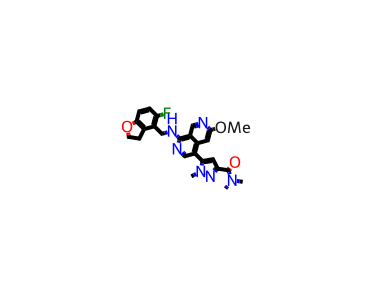 COc1cc2c(-c3cc(C(=O)N(C)C)nn3C)cnc(NCc3c(F)ccc4c3CCO4)c2cn1